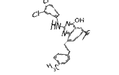 Cc1ccc(C=Cc2cc(F)cc3c(O)nc(Nc4ccc(Cl)c(Cl)c4)nc23)cc1